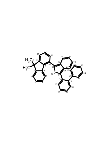 CC1(C)c2ccccc2-c2c(-c3sc(-c4ccccc4-c4ccccc4)c4ccccc34)cccc21